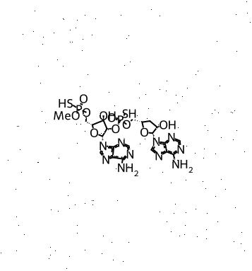 COP(=O)(S)OC[C@H]1O[C@@H](n2cnc3c(N)ncnc32)[C@H](OP(=O)(S)OC[C@@H]2C[C@@H](O)[C@H](n3cnc4c(N)ncnc43)O2)[C@@H]1O